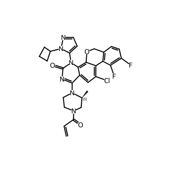 C=CC(=O)N1CCN(c2nc(=O)n(-c3ccnn3C3CCC3)c3c4c(c(Cl)cc23)-c2c(ccc(F)c2F)CO4)[C@@H](C)C1